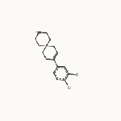 Clc1ccc(C2=CCC3(CCNCC3)CC2)cc1Cl